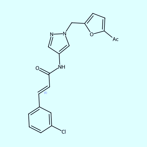 CC(=O)c1ccc(Cn2cc(NC(=O)/C=C/c3cccc(Cl)c3)cn2)o1